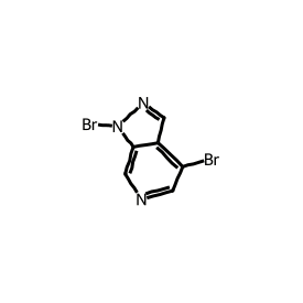 Brc1cncc2c1cnn2Br